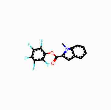 Cn1c(C(=O)Oc2c(F)c(F)c(F)c(F)c2F)cc2ccccc21